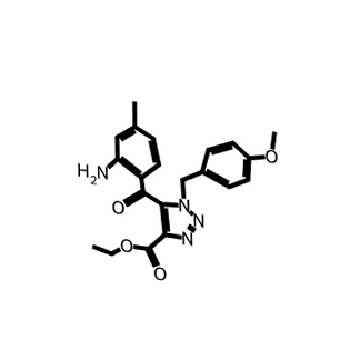 CCOC(=O)c1nnn(Cc2ccc(OC)cc2)c1C(=O)c1ccc(C)cc1N